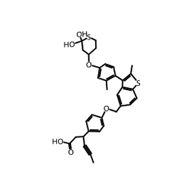 CC#CC(CC(=O)O)c1ccc(OCc2ccc3sc(C)c(-c4ccc(OC5CCSC(O)(O)C5)cc4C)c3c2)cc1